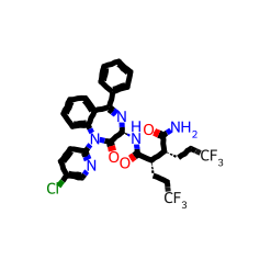 NC(=O)[C@H](CCC(F)(F)F)[C@H](CCC(F)(F)F)C(=O)N[C@H]1N=C(c2ccccc2)c2ccccc2N(c2ccc(Cl)cn2)C1=O